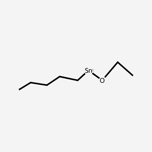 CCCC[CH2][Sn][O]CC